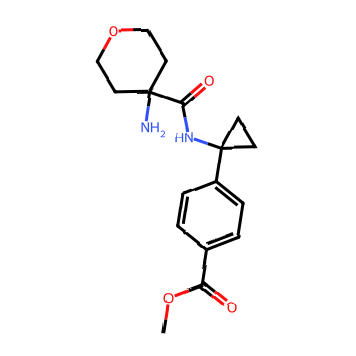 COC(=O)c1ccc(C2(NC(=O)C3(N)CCOCC3)CC2)cc1